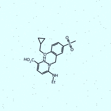 CCNC1=CC=C(C(=O)O)NN1Cc1cc(S(C)(=O)=O)ccc1OCC1CC1